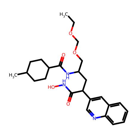 CCOCOCC(CC(C(=O)NO)c1cnc2ccccc2c1)NC(=O)C1CCC(C)CC1